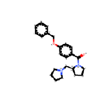 O=C(c1ccc(OCc2ccccc2)cc1)N1CCC[C@H]1CN1CCCC1